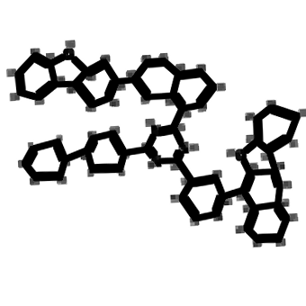 c1ccc(-c2ccc(-c3nc(-c4cccc(-c5c6ccccc6cc6c5oc5ccccc56)c4)nc(-c4cccc5ccc(-c6ccc7c(c6)oc6ccccc67)cc45)n3)cc2)cc1